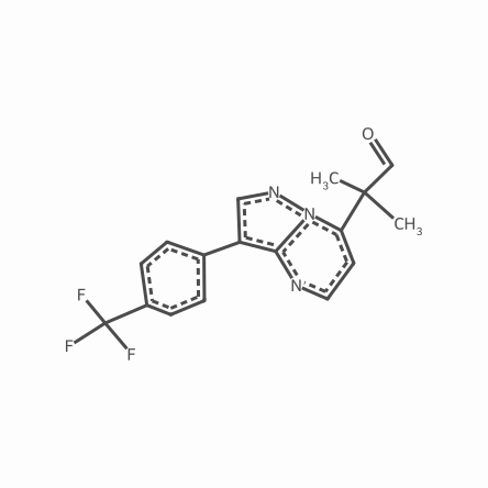 CC(C)(C=O)c1ccnc2c(-c3ccc(C(F)(F)F)cc3)cnn12